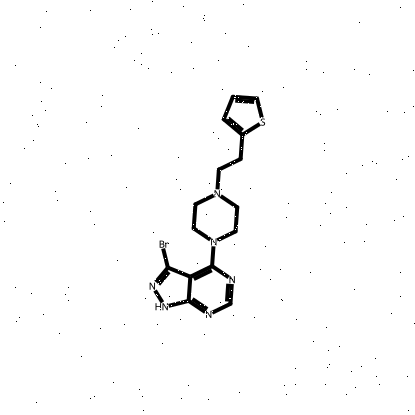 Brc1n[nH]c2ncnc(N3CCN(CCc4cccs4)CC3)c12